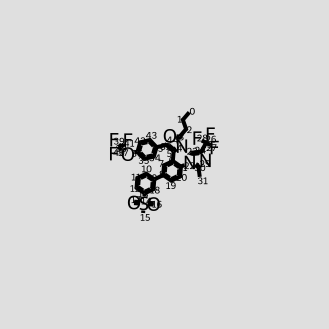 CCCc1nc(-c2cc(-c3cccc(S(C)(=O)=O)c3)ccc2-n2cc(C(F)(F)F)nc2C)c(-c2ccc(OC(F)(F)F)cc2)o1